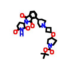 CC(C)(C)OC(=O)N1CCC(O[C@H]2C[C@H](N3CCC(c4cccc5c4C(=O)N(C4CCC(=O)NC4=O)C5=O)CC3)C2)CC1